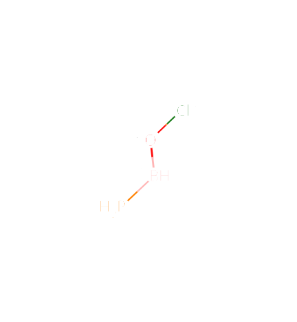 PBOCl